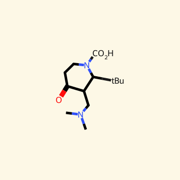 CN(C)CC1C(=O)CCN(C(=O)O)C1C(C)(C)C